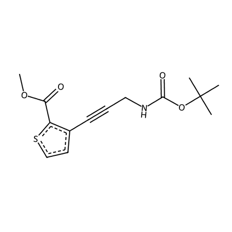 COC(=O)c1sccc1C#CCNC(=O)OC(C)(C)C